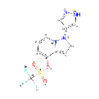 O=S(=O)(OC1=CC=CN2C1=CCN2c1cn[nH]c1)C(F)(F)F